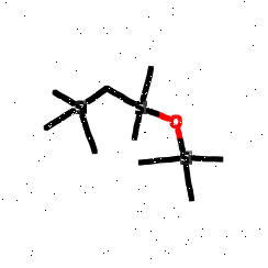 C[Si](C)(C)C[Si](C)(C)O[Si](C)(C)C